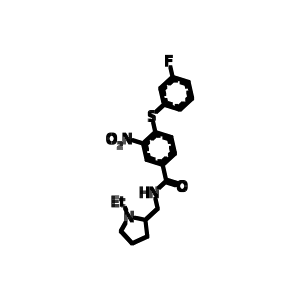 CCN1CCCC1CNC(=O)c1ccc(Sc2cccc(F)c2)c([N+](=O)[O-])c1